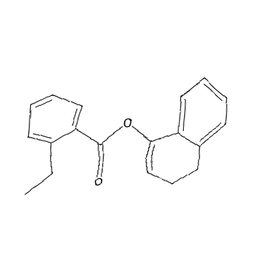 CCc1ccccc1C(=O)OC1=CCCc2ccccc21